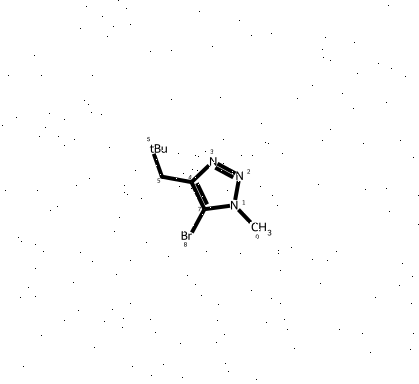 Cn1nnc(CC(C)(C)C)c1Br